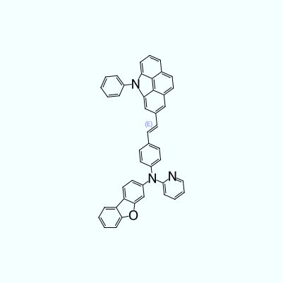 C(=C\c1cc2ccc3cccc4c3c2c(c1)n4-c1ccccc1)/c1ccc(N(c2ccc3c(c2)oc2ccccc23)c2ccccn2)cc1